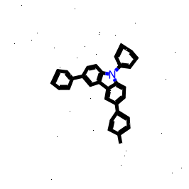 Cc1ccc(-c2ccc3c(c2)c2cc(-c4ccccc4)ccc2n3-c2ccccc2)cc1